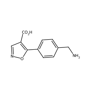 NCc1ccc(-c2oncc2C(=O)O)cc1